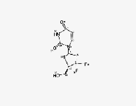 O=c1ccn([C@H]2CC(F)(F)[C@@H](CO)S2)c(=O)[nH]1